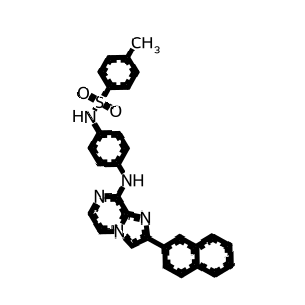 Cc1ccc(S(=O)(=O)Nc2ccc(Nc3nccn4cc(-c5ccc6ccccc6c5)nc34)cc2)cc1